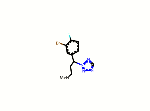 CNCCC(c1ccc(F)c(Br)c1)n1ncnn1